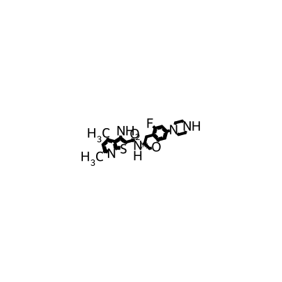 Cc1cc(C)c2c(N)c(C(=O)N[C@H]3COc4cc(N5CCNCC5)cc(F)c4C3)sc2n1